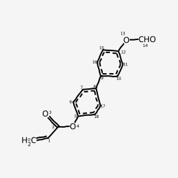 C=CC(=O)Oc1ccc(-c2ccc(OC=O)cc2)cc1